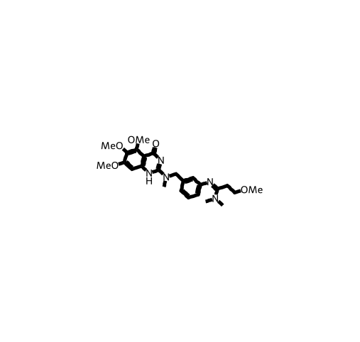 COCCC(=Nc1cccc(CN(C)c2nc(=O)c3c(OC)c(OC)c(OC)cc3[nH]2)c1)N(C)C